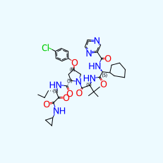 CCC[C@H](NC(=O)[C@@H]1C[C@@H](Oc2ccc(Cl)cc2)CN1C(=O)[C@@H](NC(=O)[C@@H](NC(=O)c1cnccn1)C1CCCCC1)C(C)(C)C)C(=O)C(=O)NC1CC1